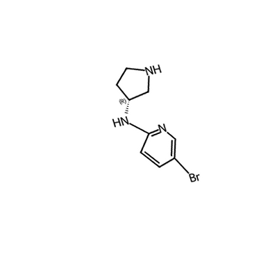 Brc1ccc(N[C@@H]2CCNC2)nc1